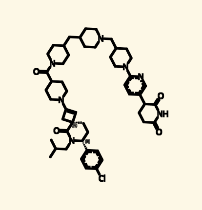 CC(C)CN1C(=O)[C@@]2(C=C(N3CCC(C(=O)N4CCC(CC5CCN(CC6CCN(c7ccc(C8CCC(=O)NC8=O)cn7)CC6)CC5)CC4)CC3)C2)CC[C@@H]1c1ccc(Cl)cc1